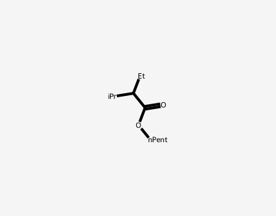 CCCCCOC(=O)C(CC)C(C)C